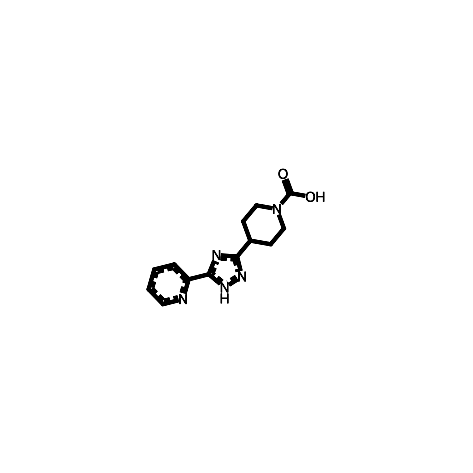 O=C(O)N1CCC(c2n[nH]c(-c3ccccn3)n2)CC1